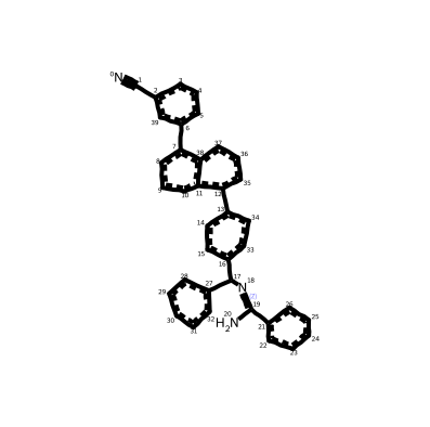 N#Cc1cccc(-c2cccc3c(-c4ccc(C(/N=C(\N)c5ccccc5)c5ccccc5)cc4)cccc23)c1